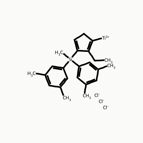 CCC1=[C]([Ti+3])CC=C1[Si](C)(c1cc(C)cc(C)c1)c1cc(C)cc(C)c1.[Cl-].[Cl-].[Cl-]